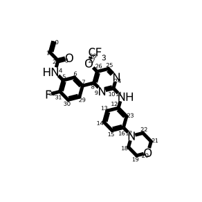 C=CC(=O)Nc1cc(-c2nc(Nc3cccc(N4CCOCC4)c3)ncc2OC(F)(F)F)ccc1F